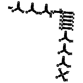 NN.NN.NN.NN.NN.NN.O=[N+]([O-])O.O=[N+]([O-])O.O=[N+]([O-])O.O=[N+]([O-])O.O=[N+]([O-])O.O=[N+]([O-])[O-].[Na+].[O-][Cl+3]([O-])([O-])O